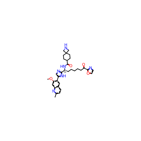 COc1cc2nc(C)ccc2cc1-c1cnc([C@H](CCCCCC(=O)c2ncco2)NC(=O)C2CCC3(CC2)CNC3)[nH]1